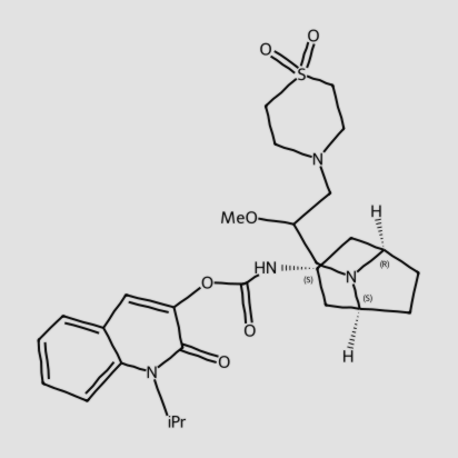 COC(CN1CCS(=O)(=O)CC1)CN1[C@@H]2CC[C@H]1C[C@H](NC(=O)Oc1cc3ccccc3n(C(C)C)c1=O)C2